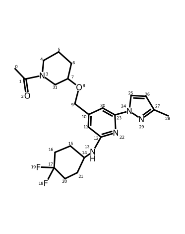 CC(=O)N1CCCC(OCc2cc(NC3CCC(F)(F)CC3)nc(-n3ccc(C)n3)c2)C1